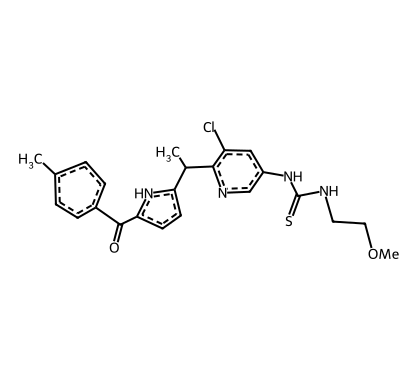 COCCNC(=S)Nc1cnc(C(C)c2ccc(C(=O)c3ccc(C)cc3)[nH]2)c(Cl)c1